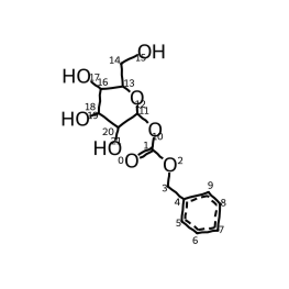 O=C(OCc1ccccc1)OC1OC(CO)C(O)C(O)C1O